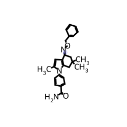 Cc1cc2c(n1-c1ccc(C(N)=O)cc1)CC(C)(C)C/C2=N\OCc1ccccc1